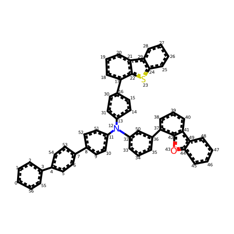 c1ccc(-c2ccc(-c3ccc(N(c4ccc(-c5cccc6c5sc5ccccc56)cc4)c4cccc(-c5cccc6c5oc5ccccc56)c4)cc3)cc2)cc1